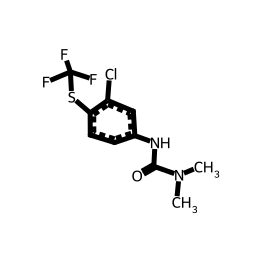 CN(C)C(=O)Nc1ccc(SC(F)(F)F)c(Cl)c1